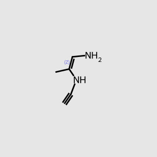 C#CN/C(C)=C\N